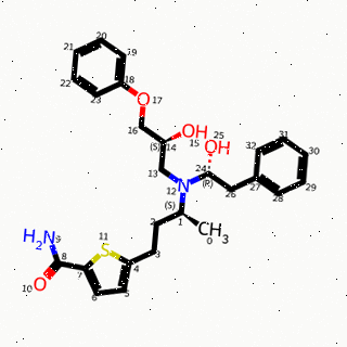 C[C@@H](CCc1ccc(C(N)=O)s1)N(C[C@H](O)COc1ccccc1)[C@H](O)Cc1ccccc1